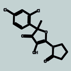 CC1(c2ccc(Cl)cc2Cl)OC(N2CCCC2=O)=C(O)C1=O